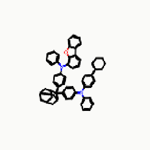 c1ccc(N(c2ccc(C3CCCCC3)cc2)c2ccc(C3(c4ccc(N(c5ccccc5)c5cccc6c5oc5ccccc56)cc4)C4CC5CC(C4)CC3C5)cc2)cc1